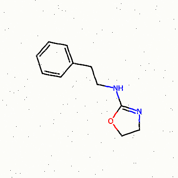 c1ccc(CCNC2=NCCO2)cc1